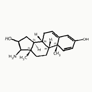 C[C@]12C=CC(O)=CC1=CC[C@@H]1[C@H]2CC[C@]2(C)C(N)C(O)C[C@@H]12